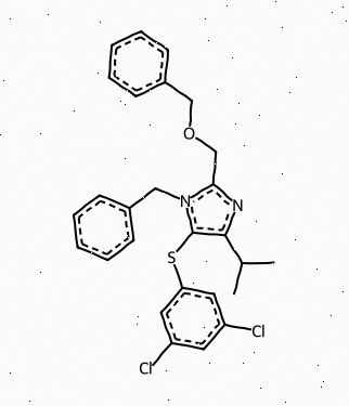 CC(C)c1nc(COCc2ccccc2)n(Cc2ccccc2)c1Sc1cc(Cl)cc(Cl)c1